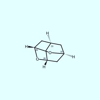 C1[C@@H]2C[C@H]3C[C@@H]1O[C@H](C2)O3